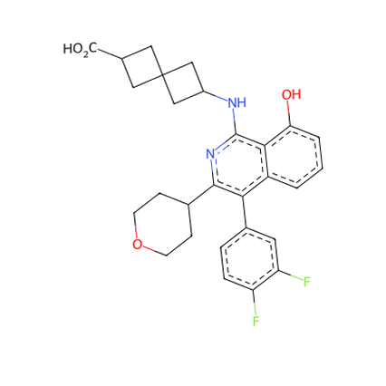 O=C(O)C1CC2(CC(Nc3nc(C4CCOCC4)c(-c4ccc(F)c(F)c4)c4cccc(O)c34)C2)C1